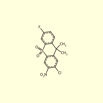 CC1(C)c2ccc(F)cc2S(=O)(=O)c2cc([N+](=O)[O-])c(Cl)cc21